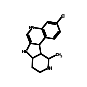 CC1NCCC2NC3=CNc4cc(Cl)ccc4C3C12